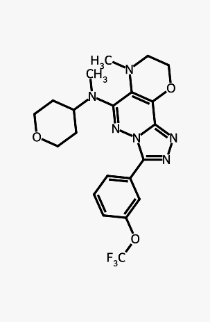 CN1CCOc2c1c(N(C)C1CCOCC1)nn1c(-c3cccc(OC(F)(F)F)c3)nnc21